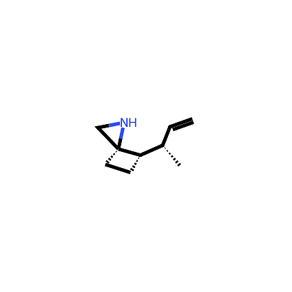 C=C[C@H](C)[C@@H]1CC[C@@]12CN2